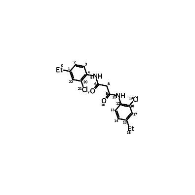 CCc1ccc(NC(=O)CC(=O)Nc2ccc(CC)cc2Cl)c(Cl)c1